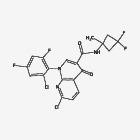 CC1(NC(=O)c2cn(-c3c(F)cc(F)cc3Cl)c3nc(Cl)ccc3c2=O)CC(F)(F)C1